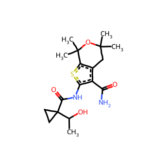 CC(O)C1(C(=O)Nc2sc3c(c2C(N)=O)CC(C)(C)OC3(C)C)CC1